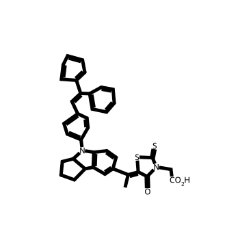 C/C(=C1/SC(=S)N(CC(=O)O)C1=O)c1ccc2c(c1)C1CCCC1N2c1ccc(C=C(c2ccccc2)c2ccccc2)cc1